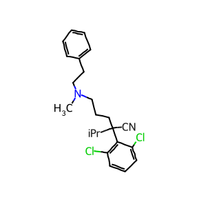 CC(C)C(C#N)(CCCN(C)CCc1ccccc1)c1c(Cl)cccc1Cl